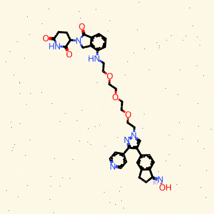 O=C1CCC(N2Cc3c(NCCOCCOCCOCCn4cc(-c5ccc6c(c5)CC/C6=N\O)c(-c5ccncc5)n4)cccc3C2=O)C(=O)N1